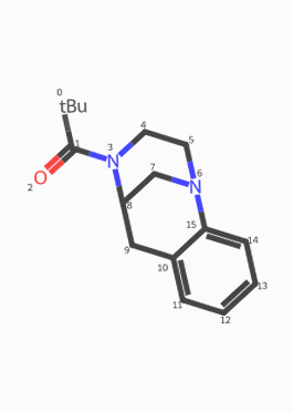 CC(C)(C)C(=O)N1CCN2CC1Cc1ccccc12